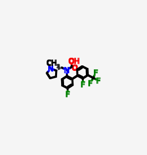 CN1CCC[C@H]1CN(C(=O)O)c1ccc(F)cc1-c1cccc(C(F)(F)F)c1F